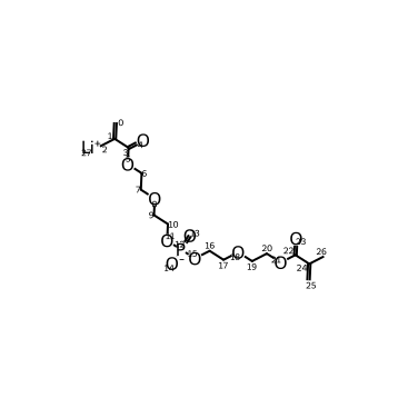 C=C(C)C(=O)OCCOCCOP(=O)([O-])OCCOCCOC(=O)C(=C)C.[Li+]